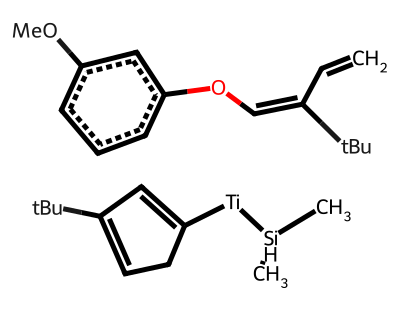 C=CC(=COc1cccc(OC)c1)C(C)(C)C.C[SiH](C)[Ti][C]1=CC(C(C)(C)C)=CC1